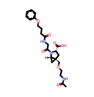 CC(=O)NCCOC[C@@]12C[C@@H]1N(C(=O)CNC(=O)CCCOc1ccccc1)[C@H](C(=O)O)C2